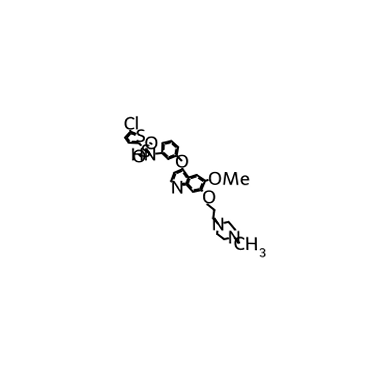 COc1cc2c(Oc3cccc(NS(=O)(=O)c4ccc(Cl)s4)c3)ccnc2cc1OCCCN1CCN(C)CC1